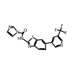 O=C(Nc1nc2ccc(-c3cncc(C(F)(F)F)c3)cc2s1)n1ccnc1